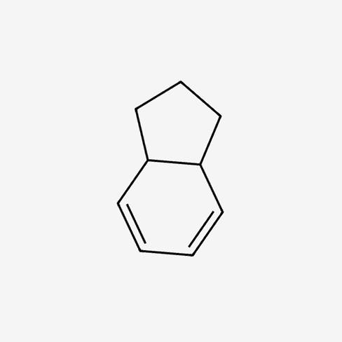 C1=CC2CCCC2C=C1